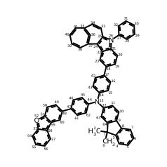 CC1(C)c2ccccc2-c2ccc(N(c3ccc(-c4ccc5c(c4)c4c(n5-c5ccccc5)C=CC5=C=C4C=CC=C5)cc3)c3ccc(-c4ccc5oc6ccccc6c5c4)cc3)cc21